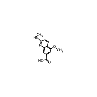 CNc1ccc2c(OC)cc(C(=O)O)cc2n1